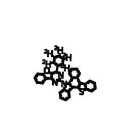 [2H]c1c([2H])c([2H])c(-c2nc(-n3c4ccccc4c4c5sc6ccccc6c5c5ccccc5c43)nc3c2oc2ccccc23)c([2H])c1[2H]